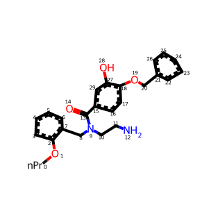 CCCOc1ccccc1CN(CCN)C(=O)c1ccc(OCc2ccccc2)c(O)c1